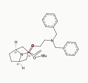 C=C[C@@]1(OCCN(Cc2ccccc2)Cc2ccccc2)C[C@H]2CC[C@@H](C1)N2C(=O)OC(C)(C)C